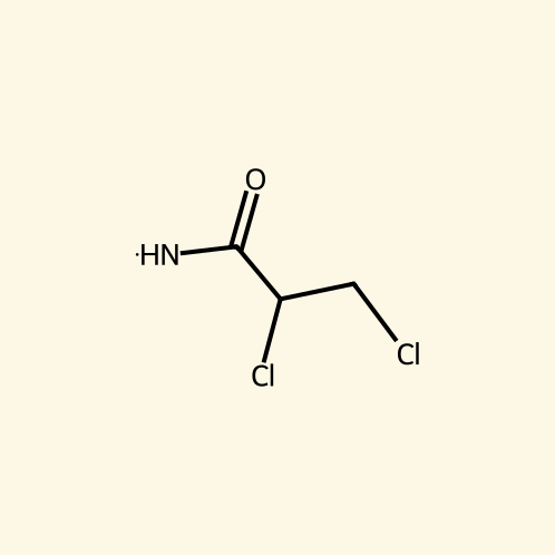 [NH]C(=O)C(Cl)CCl